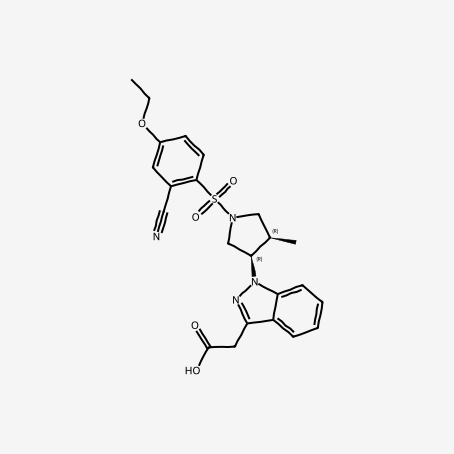 CCOc1ccc(S(=O)(=O)N2C[C@@H](C)[C@@H](n3nc(CC(=O)O)c4ccccc43)C2)c(C#N)c1